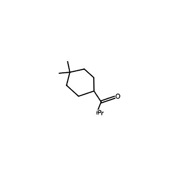 CC(C)C(=O)C1CCC(C)(C)CC1